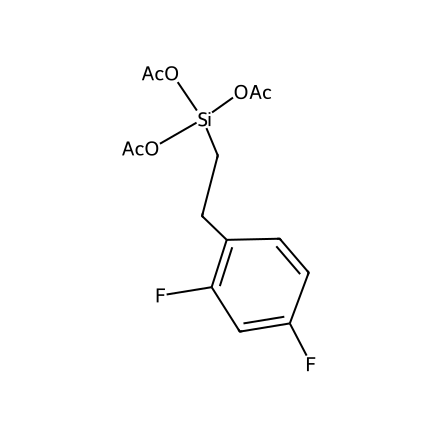 CC(=O)O[Si](CCc1ccc(F)cc1F)(OC(C)=O)OC(C)=O